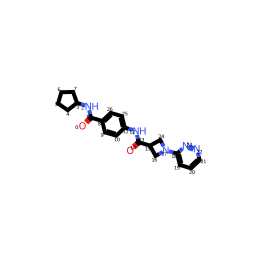 O=C(NC1CCCC1)c1ccc(NC(=O)C2CN(c3cccnn3)C2)cc1